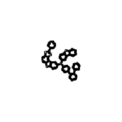 c1ccc(-c2nc3c(ccc4oc5ccc(N(c6ccc(-c7ccccc7-c7ccccc7)cc6)c6ccc7oc8ccccc8c7c6)cc5c43)o2)cc1